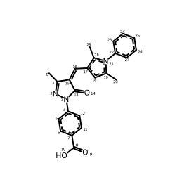 CC1=NN(c2ccc(C(=O)O)cc2)C(=O)C1=Cc1cc(C)n(-c2ccccc2)c1C